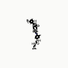 Cc1cc(NCC(=O)NCCN(C)C)ccc1/C=C/S(=O)(=O)N1CCC2(CC1)N=C(c1cccc(OF)c1)NC2=O